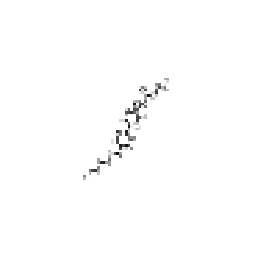 CCCCCCCc1cnc(-c2ccc(OCC(=O)OCCC)cc2)nc1